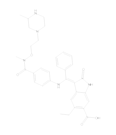 CCc1cc2c(cc1C(=O)O)NC(=O)C2=C(Nc1ccc(C(=O)N(C)OCCN2CCNC(C)C2)cc1)c1ccccc1